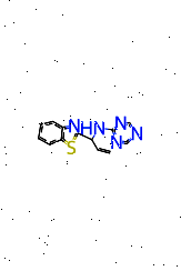 C=CC(Nc1ncncn1)c1nc2ccccc2s1